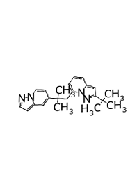 CC(C)(C)c1cc2cccc(CC(C)(C)c3ccn4nccc4c3)n2n1